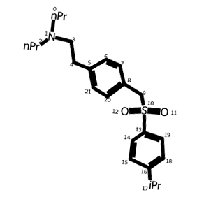 CCCN(CCC)CCc1ccc(CS(=O)(=O)c2ccc(C(C)C)cc2)cc1